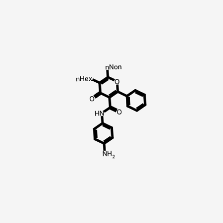 CCCCCCCCCc1oc(-c2ccccc2)c(C(=O)Nc2ccc(N)cc2)c(=O)c1CCCCCC